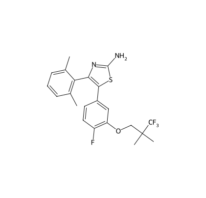 Cc1cccc(C)c1-c1nc(N)sc1-c1ccc(F)c(OCC(C)(C)C(F)(F)F)c1